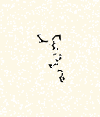 O=C(CC1CC(F)(F)C1)NC(c1ccn2cc([C@@H](NC(=O)C3CC3C(F)(F)F)C3CCC(F)(F)CC3)nc2n1)C1CC1